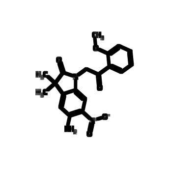 COc1ccccc1C(=O)CN1C(=O)C(C)(C)c2cc(N)c([N+](=O)[O-])cc21